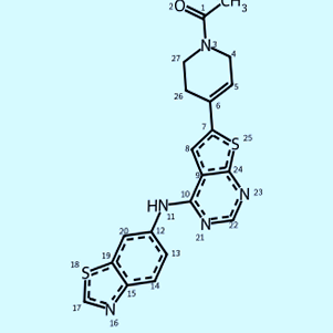 CC(=O)N1CC=C(c2cc3c(Nc4ccc5ncsc5c4)ncnc3s2)CC1